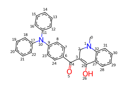 CN1CC(C(=O)c2ccc(N(c3ccccc3)c3ccccc3)cc2)=C(O)c2ccccc21